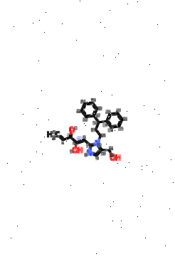 C=CC(=O)/C(O)=C/c1ncc(CO)n1CCC(c1ccccc1)c1ccccc1